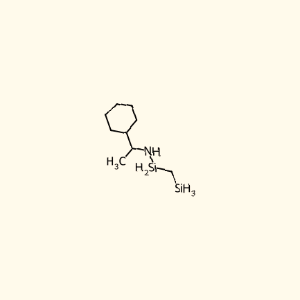 CC(N[SiH2]C[SiH3])C1CCCCC1